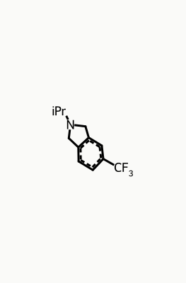 CC(C)N1Cc2ccc(C(F)(F)F)cc2C1